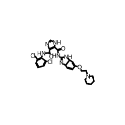 O=C(Nc1c(Cl)cccc1Cl)c1nc[nH]c1C(=O)NC1=NC2C=CC(OCCN3CCCCC3)=CC2N1